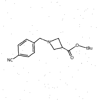 CC(C)(C)OC(=O)C1CN(Cc2ccc(C#N)cc2)C1